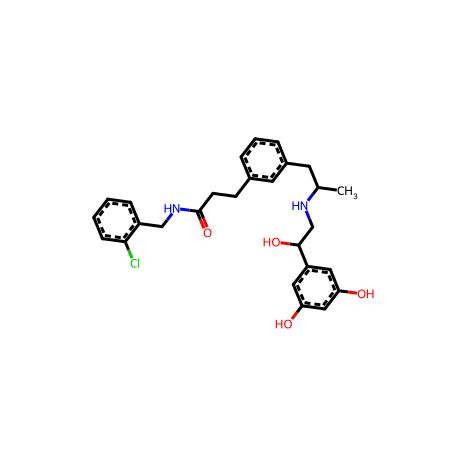 CC(Cc1cccc(CCC(=O)NCc2ccccc2Cl)c1)NCC(O)c1cc(O)cc(O)c1